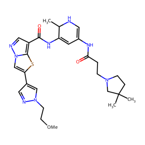 COCCn1cc(-c2cn3ncc(C(=O)NC4=CC(NC(=O)CCN5CCC(C)(C)C5)=CNC4C)c3s2)cn1